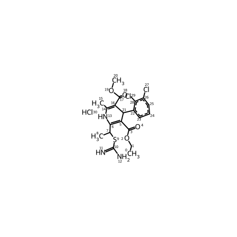 CCOC(=O)C1=C(C(C)SC(=N)N)NC(C)=C(C(=O)OC)C1c1cccc(Cl)c1Cl.Cl